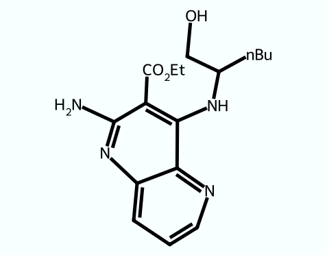 CCCCC(CO)Nc1c(C(=O)OCC)c(N)nc2cccnc12